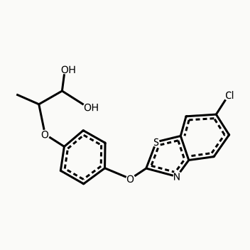 CC(Oc1ccc(Oc2nc3ccc(Cl)cc3s2)cc1)C(O)O